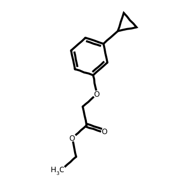 CCOC(=O)COc1cccc(C2CC2)c1